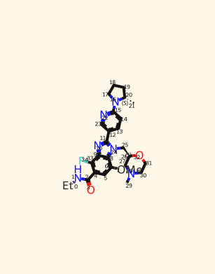 CCNC(=O)c1cc(OC)c2c(nc(-c3ccc(N4CCC[C@@H]4C)nc3)n2C[C@@H]2CN(C)CCO2)c1F